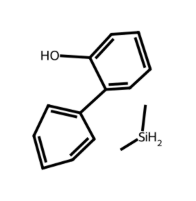 C[SiH2]C.Oc1ccccc1-c1ccccc1